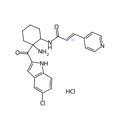 Cl.NC1(C(=O)c2cc3cc(Cl)ccc3[nH]2)CCCCC1NC(=O)/C=C/c1ccncc1